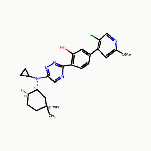 CCC[C@]1(C)CC[C@H](F)[C@H](N(c2cnc(-c3ccc(-c4cc(OC)ncc4F)cc3O)nn2)C2CC2)C1